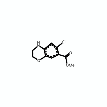 COC(=O)c1cc2c(cc1Cl)NCCO2